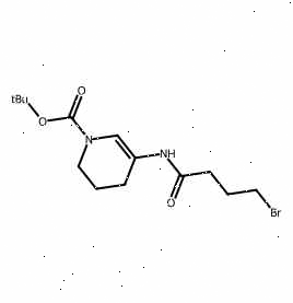 CC(C)(C)OC(=O)N1C=C(NC(=O)CCCBr)CCC1